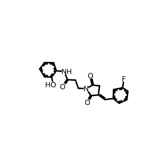 O=C(CCN1C(=O)C/C(=C\c2cccc(F)c2)C1=O)Nc1ccccc1O